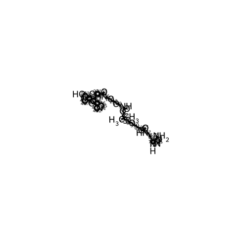 CC(C)(CCOC(=O)NCCOCCOCCNC(=O)c1ccc(C(=O)O)c(C2=c3cc4c5c(c3Oc3c2cc2c6c3CCCN6CCC2)CCC[N+]=5CCC4)c1)SSCOCCCCOC(=O)NCC#Cc1c[nH]c2ncnc(N)c12